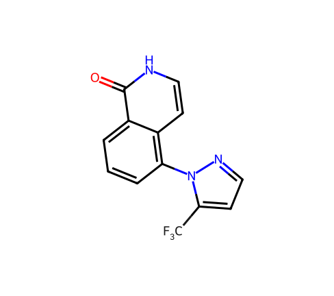 O=c1[nH]ccc2c(-n3nccc3C(F)(F)F)cccc12